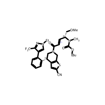 CCn1cc(-c2ccccc2[C@@H]2CN(C(=O)/C=C/[C@H](COC)N(C)C(=O)OC(C)(C)C)Cc3sc(C#N)cc32)c(C(F)(F)F)n1